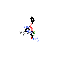 CC(C)CC(NC(=O)OCc1ccccc1)C(=O)NN(CCC(N)=O)C(=O)[C@H](F)Cl